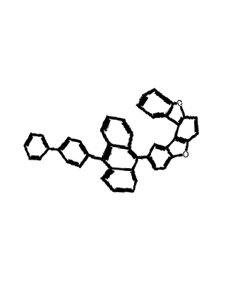 c1ccc(-c2ccc(-c3c4ccccc4c(-c4ccc5oc6ccc7oc8ccccc8c7c6c5c4)c4ccccc34)cc2)cc1